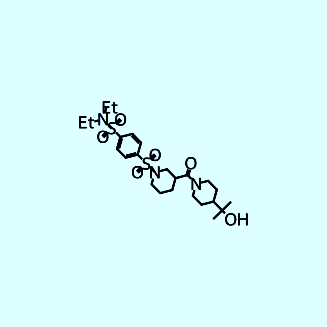 CCN(CC)S(=O)(=O)c1ccc(S(=O)(=O)N2CCCC(C(=O)N3CCC(C(C)(C)O)CC3)C2)cc1